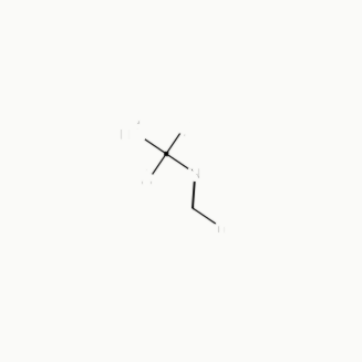 CCCCNC(O)(O)O